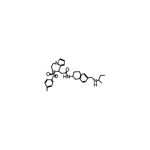 CCC(C)NCc1ccc2c(c1)CCC(NC(=O)CC1c3cccn3CCN1S(=O)(=O)c1ccc(C)cc1)C2